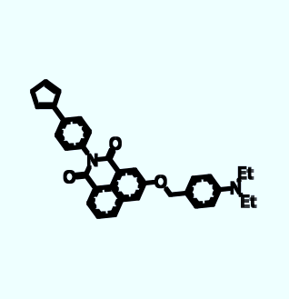 CCN(CC)c1ccc(COc2cc3c4c(cccc4c2)C(=O)N(c2ccc(C4=CCC=C4)cc2)C3=O)cc1